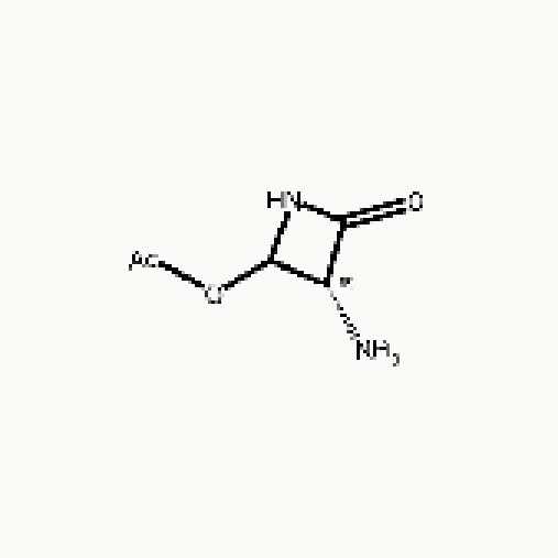 CC(=O)OC1NC(=O)[C@@H]1N